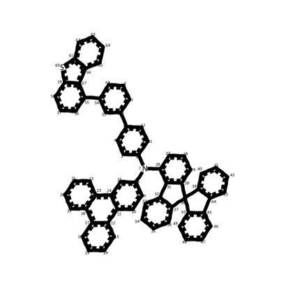 c1cc(-c2ccc(N(c3ccc4c5ccccc5c5ccccc5c4c3)c3cccc4c3-c3ccccc3C43c4ccccc4-c4ccccc43)cc2)cc(-c2cccc3sc4ccccc4c23)c1